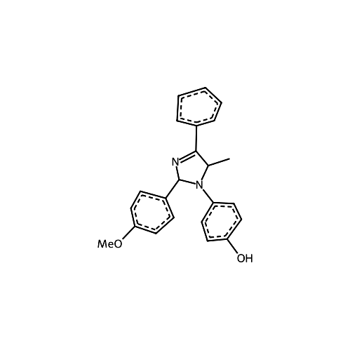 COc1ccc(C2N=C(c3ccccc3)C(C)N2c2ccc(O)cc2)cc1